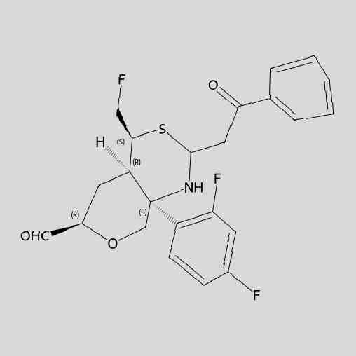 O=C[C@H]1C[C@H]2[C@@H](CF)SC(CC(=O)c3ccccc3)N[C@@]2(c2ccc(F)cc2F)CO1